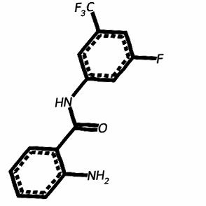 Nc1ccccc1C(=O)Nc1cc(F)cc(C(F)(F)F)c1